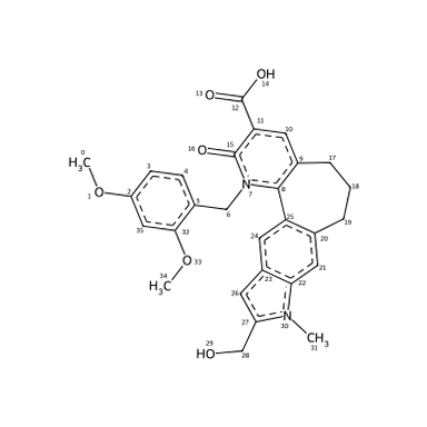 COc1ccc(Cn2c3c(cc(C(=O)O)c2=O)CCCc2cc4c(cc2-3)cc(CO)n4C)c(OC)c1